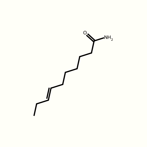 CCC=CCCCCCC(N)=O